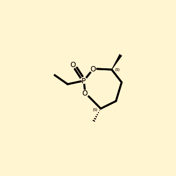 CCP1(=O)O[C@@H](C)CC[C@H](C)O1